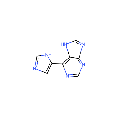 c1nc(-c2cnc[nH]2)c2[nH]cnc2n1